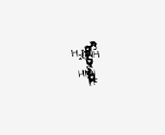 Nc1ccc(-c2cccs2)cc1NC(=O)c1ccc(CSc2nc3cc(F)c(I)cc3[nH]2)cc1